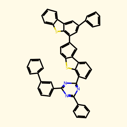 c1ccc(-c2cccc(-c3nc(-c4ccccc4)nc(-c4cccc5c4sc4ccc(-c6cc(-c7ccccc7)cc7c6sc6ccccc67)cc45)n3)c2)cc1